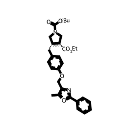 CCOC(=O)[C@H]1CN(C(=O)OCC(C)C)C[C@H]1Cc1ccc(OCc2nc(-c3ccccc3)oc2C)cc1